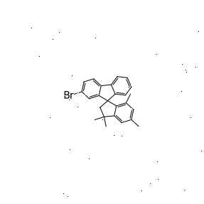 Cc1cc(C)c2c(c1)C(C)(C)CC21c2ccccc2-c2ccc(Br)cc21